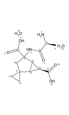 C[C@H](N)C(=O)NC1(C(=O)O)CC2(CC2)C2C1[C@H]2C(=O)O.O.O